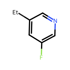 [CH2]Cc1cncc(F)c1